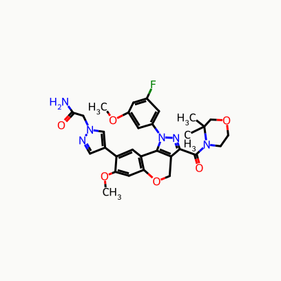 COc1cc(F)cc(-n2nc(C(=O)N3CCOCC3(C)C)c3c2-c2cc(-c4cnn(CC(N)=O)c4)c(OC)cc2OC3)c1